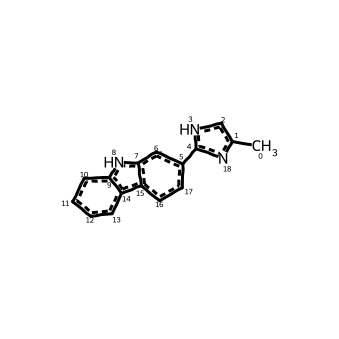 Cc1c[nH]c(-c2[c]c3[nH]c4ccccc4c3cc2)n1